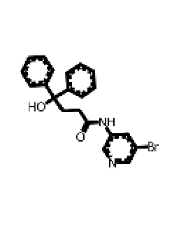 O=C(CCC(O)(c1ccccc1)c1ccccc1)Nc1cncc(Br)c1